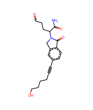 NC(=O)C(CCC=O)N1Cc2cc(C#CCCCCO)ccc2C1=O